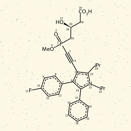 COP(=O)(C#Cc1c(-c2ccc(F)cc2)c(-c2ccccc2)n(C(C)C)c1C(C)C)C[C@@H](O)CC(=O)O